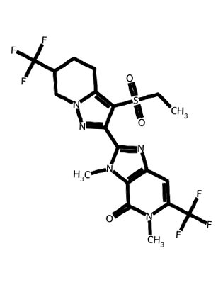 CCS(=O)(=O)c1c(-c2nc3cc(C(F)(F)F)n(C)c(=O)c3n2C)nn2c1CCC(C(F)(F)F)C2